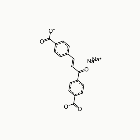 O=C([O-])c1ccc(C=CC(=O)c2ccc(C(=O)[O-])cc2)cc1.[Na+].[Na+]